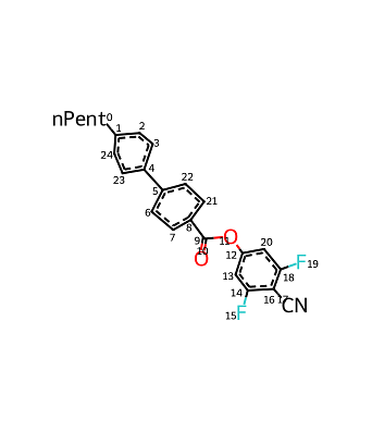 CCCCCc1ccc(-c2ccc(C(=O)Oc3cc(F)c(C#N)c(F)c3)cc2)cc1